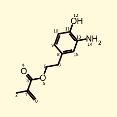 C=C(C)C(=O)OCCc1ccc(O)c(N)c1